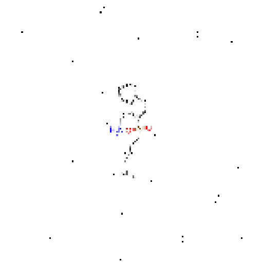 CCCCCS(=O)(=O)c1ccc2ccccc2c1CN